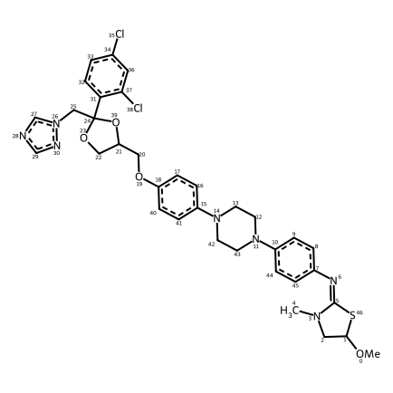 COC1CN(C)/C(=N\c2ccc(N3CCN(c4ccc(OCC5COC(Cn6cncn6)(c6ccc(Cl)cc6Cl)O5)cc4)CC3)cc2)S1